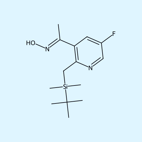 CC(=NO)c1cc(F)cnc1C[Si](C)(C)C(C)(C)C